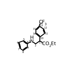 CCOC(=O)C(CNc1ccccc1)c1ccc(C(F)(F)F)cc1